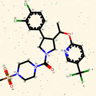 CC(Oc1ccc(C(F)(F)F)cn1)C1CN(C(=O)N2CCN(S(C)(=O)=O)CC2)CC1c1ccc(Cl)c(Cl)c1